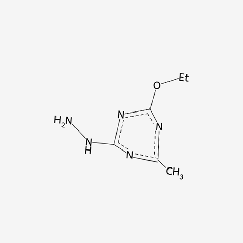 CCOc1nc(C)nc(NN)n1